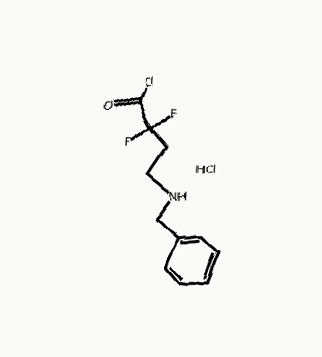 Cl.O=C(Cl)C(F)(F)CCNCc1ccccc1